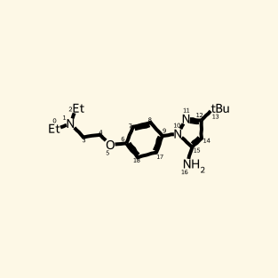 CCN(CC)CCOc1ccc(-n2nc(C(C)(C)C)cc2N)cc1